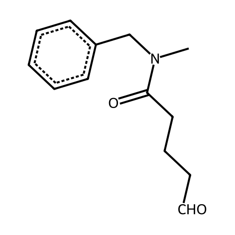 CN(Cc1ccccc1)C(=O)CCCC=O